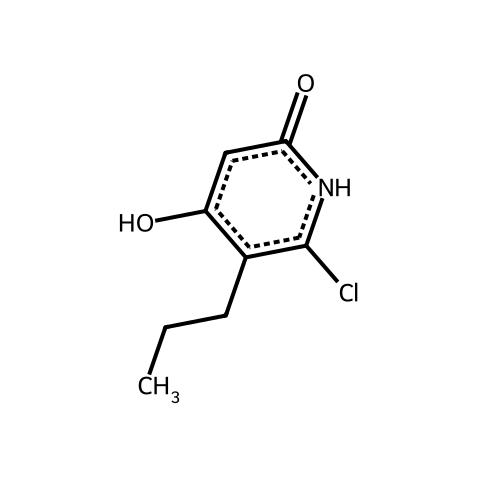 CCCc1c(O)cc(=O)[nH]c1Cl